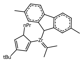 CCCC1C=C(C(C)(C)C)C=[C]1[Zr](=[C](C)C)[CH]1c2cc(C)ccc2-c2ccc(C)cc21